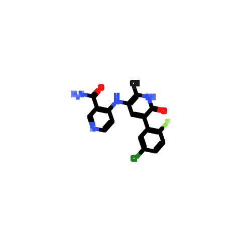 N#Cc1[nH]c(=O)c(-c2cc(Cl)ccc2F)cc1Nc1ccncc1C(N)=O